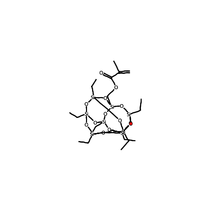 C=C(C)C(=O)OC[Si]12O[Si]3(CC)O[Si]4(CC)O[Si]5(CC)O[Si](CC)(O3)O[Si](CC)(O[Si](CC)(O5)O[Si](CC)(O4)O1)O2